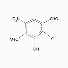 COc1c([N+](=O)[O-])cc(C=O)c(Cl)c1O